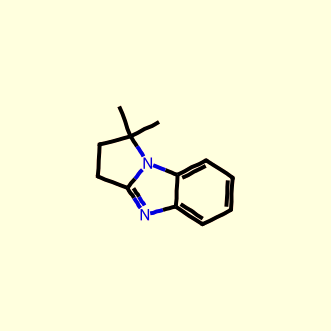 CC1(C)CCc2nc3ccccc3n21